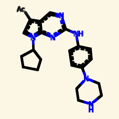 CC(=O)c1cn(C2CCCC2)c2nc(Nc3ccc(N4CCNCC4)cc3)ncc12